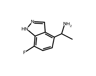 CC(N)c1ccc(F)c2[nH]ncc12